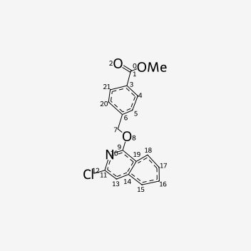 COC(=O)c1ccc(COc2nc(Cl)cc3ccccc23)cc1